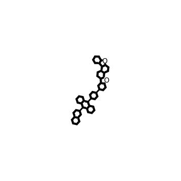 c1ccc2cc(-c3c4ccccc4c(-c4ccc(-c5ccc6oc7c(ccc8c7ccc7oc9ccccc9c78)c6c5)cc4)c4ccccc34)ccc2c1